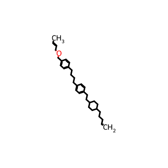 C=CCCCC1CCC(CCc2ccc(CCCCc3ccc(COCC=CC)cc3)cc2)CC1